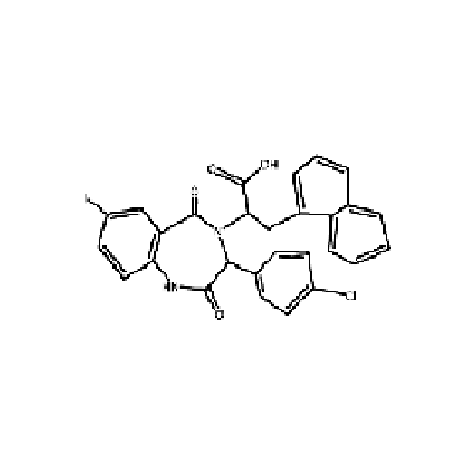 O=C(O)C(Cc1cccc2ccccc12)N1C(=O)c2cc(I)ccc2NC(=O)C1c1ccc(Cl)cc1